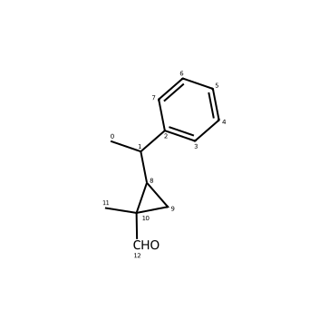 CC(c1ccccc1)C1CC1(C)C=O